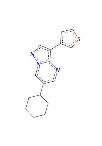 c1cc(-c2cnn3cc(C4CCCCC4)cnc23)cs1